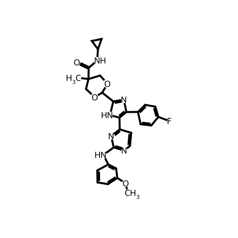 COc1cccc(Nc2nccc(-c3[nH]c(C4OCC(C)(C(=O)NC5CC5)CO4)nc3-c3ccc(F)cc3)n2)c1